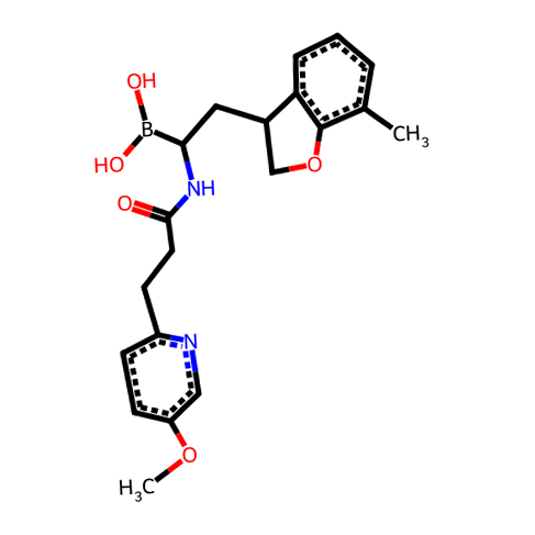 COc1ccc(CCC(=O)NC(CC2COc3c(C)cccc32)B(O)O)nc1